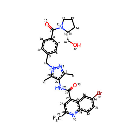 Cc1nn(Cc2ccc(C(=O)N3CCC[C@@H]3CO)cc2)c(C)c1NC(=O)c1cc(C(F)(F)F)nc2ccc(Br)cc12